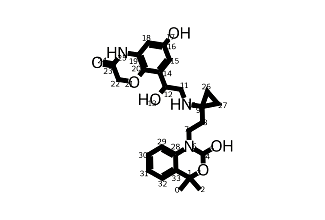 CC1(C)OC(O)N(CCC2(NCC(O)c3cc(O)cc4c3OCC(=O)N4)CC2)c2ccccc21